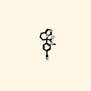 COC(=O)C1(c2ccc(C#N)cc2)CCCc2cncn21